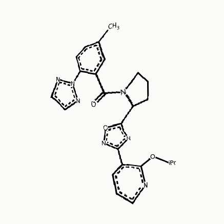 Cc1ccc(-n2nccn2)c(C(=O)N2CCCC2c2nc(-c3cccnc3OC(C)C)no2)c1